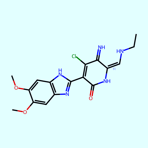 CCN/C=C1/NC(=O)C(c2nc3cc(OC)c(OC)cc3[nH]2)=C(Cl)C1=N